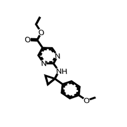 CCOC(=O)c1cnc(NC2(c3ccc(OC)cc3)CC2)nc1